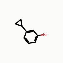 Brc1cc[c]c(C2CC2)c1